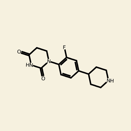 O=C1CCN(c2ccc(C3CCNCC3)cc2F)C(=O)N1